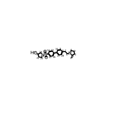 CC1CCCN1CCc1ccc(-c2ccc(S(=O)(=O)N3CCC(O)C3)cc2)cc1